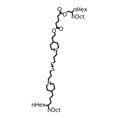 CCCCC[CH]CCC(CCCCCC)CCCC1CCN(CCCSSCCCN2CCC(CCOC(=O)CCCC(=O)OCC(CCCCCC)CCCCCCCC)CC2)CC1